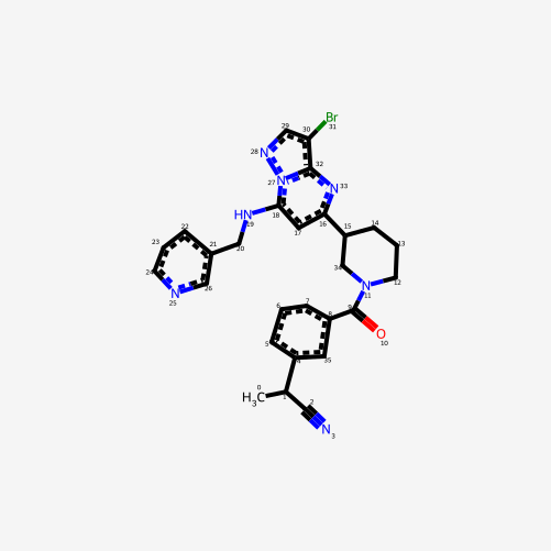 CC(C#N)c1cccc(C(=O)N2CCCC(c3cc(NCc4cccnc4)n4ncc(Br)c4n3)C2)c1